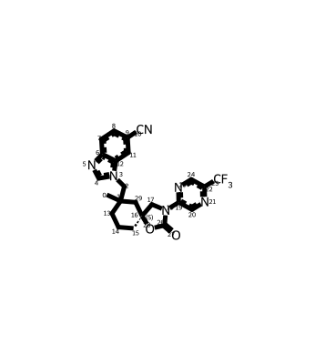 CC1(Cn2cnc3ccc(C#N)cc32)CCC[C@@]2(CN(c3cnc(C(F)(F)F)cn3)C(=O)O2)C1